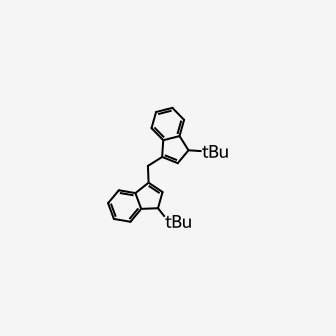 CC(C)(C)C1C=C(CC2=CC(C(C)(C)C)c3ccccc32)c2ccccc21